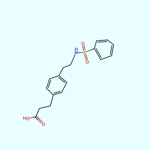 O=C(O)CCc1ccc(CCNS(=O)(=O)c2ccccc2)cc1